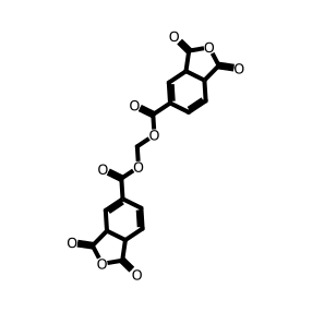 O=C(OCOC(=O)C1=CC2C(=O)OC(=O)C2C=C1)C1=CC2C(=O)OC(=O)C2C=C1